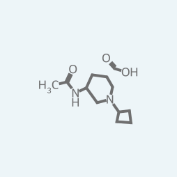 CC(=O)NC1CCCN(C2CCC2)C1.O=CO